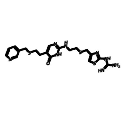 N=C(N)Nc1nc(CSCCNc2ncc(CCSCc3cccnc3)c(=O)[nH]2)cs1